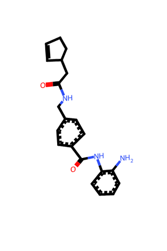 Nc1ccccc1NC(=O)c1ccc(CNC(=O)CC2C=CCC2)cc1